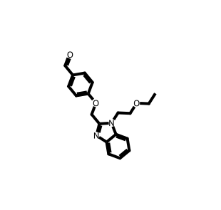 CCOCCn1c(COc2ccc(C=O)cc2)nc2ccccc21